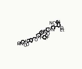 CCOc1cc(-c2ccc(N3CCC(CN4CCC5(CC4)CCN(C(=O)Cc4ccc6c(c4)CN(C4CCC(=O)NC4=O)C6=O)CC5)(NC(=O)c4cc(F)ccc4F)CC3)nc2)c2c(C#N)cnn2c1